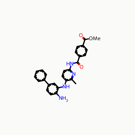 COC(=O)c1ccc(C(=O)Nc2ccc(Nc3cc(-c4ccccc4)ccc3N)c(C)n2)cc1